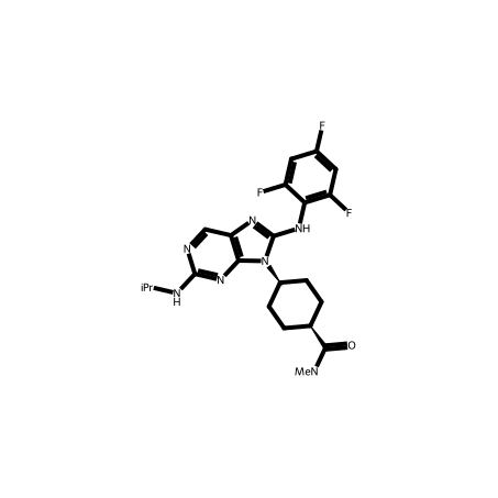 CNC(=O)[C@H]1CC[C@@H](n2c(Nc3c(F)cc(F)cc3F)nc3cnc(NC(C)C)nc32)CC1